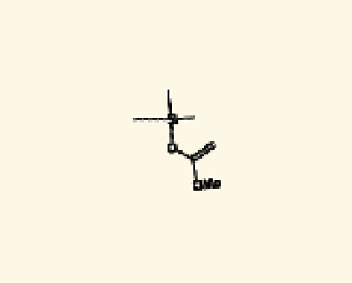 C=C(OC)O[Si](C)(C)C